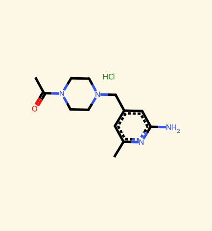 CC(=O)N1CCN(Cc2cc(C)nc(N)c2)CC1.Cl